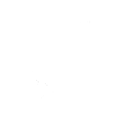 CCn1cc(-c2ccccc2Cl)nc1C=Cc1ccc(-c2ccc(OCCCC(=O)O)cc2)cc1